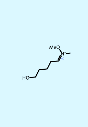 CO/[N+](C)=C\CCCCO